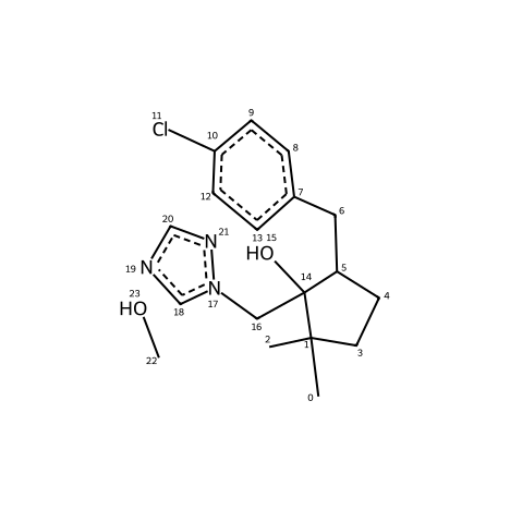 CC1(C)CCC(Cc2ccc(Cl)cc2)C1(O)Cn1cncn1.CO